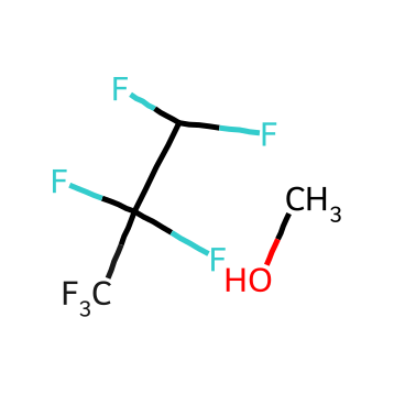 CO.FC(F)C(F)(F)C(F)(F)F